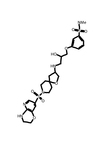 CNS(=O)(=O)c1cccc(OCC(O)CNC2COC3(CCN(S(=O)(=O)c4cnc5c(c4)OCCN5)CC3)C2)c1